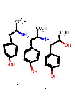 NC(Cc1ccc(O)cc1)C(=O)O.NC(Cc1ccc(O)cc1)C(=O)O.O=C(O)C(O)Cc1ccc(O)cc1